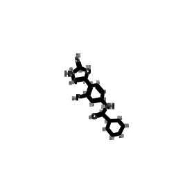 O=C(Nc1ccc(-c2n[nH]c(=S)o2)c(F)c1)C1CCCCC1